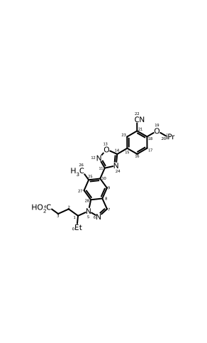 CCC(CCC(=O)O)n1ncc2cc(-c3noc(-c4ccc(OC(C)C)c(C#N)c4)n3)c(C)cc21